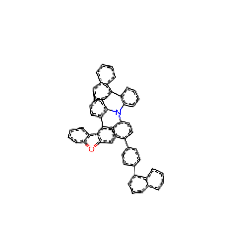 c1ccc(N(c2ccc(-c3ccc(-c4cccc5ccccc45)cc3)cc2)c2ccccc2-c2cccc3oc4ccccc4c23)c(-c2cccc3ccccc23)c1